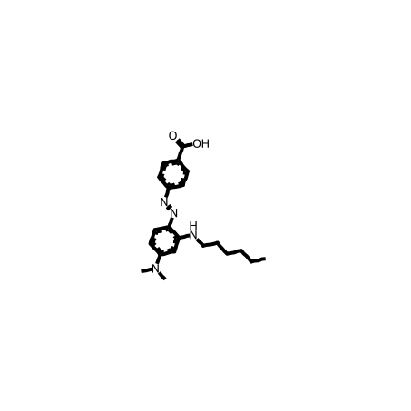 [CH2]CCCCCNc1cc(N(C)C)ccc1N=Nc1ccc(C(=O)O)cc1